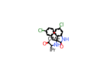 COC(=O)C(NC1(Cc2cccc(Cl)c2)C(=O)Nc2cc(Cl)ccc21)C(C)C